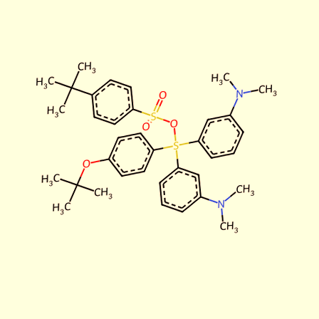 CN(C)c1cccc(S(OS(=O)(=O)c2ccc(C(C)(C)C)cc2)(c2ccc(OC(C)(C)C)cc2)c2cccc(N(C)C)c2)c1